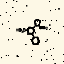 CO[C@H]1CCCN1c1cc(C(=O)O)nc(-c2ccccc2)c1